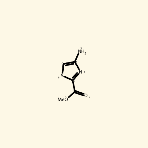 COC(=O)c1nc(N)cs1